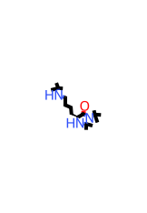 CC(C)(C)NCCCC[C@@H]1NC(C)(C)N(C(C)(C)C)C1=O